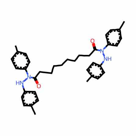 Cc1ccc(NN(C(=O)CCCCCCCCC(=O)N(Nc2ccc(C)cc2)c2ccc(C)cc2)c2ccc(C)cc2)cc1